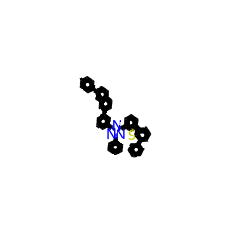 c1ccc(-c2ccc3ccc(-c4cccc(-c5nc(-c6ccccc6)nc(-c6cccc7c6sc6c(-c8ccccc8)cccc67)n5)c4)cc3c2)cc1